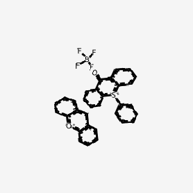 F[B-](F)(F)F.O=c1c2ccccc2[s+](-c2ccccc2)c2ccccc12.c1ccc2[o+]c3ccccc3cc2c1